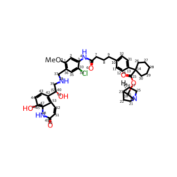 COc1cc(NC(=O)CCCc2ccc(C3(C(=O)O[C@H]4CN5CCC4CC5)CCCCC3)cc2)c(Cl)cc1CNC[C@@H](O)c1ccc(O)c2[nH]c(=O)ccc12